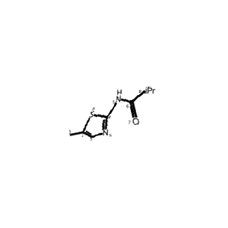 Cc1cnc(NC(=O)C(C)C)s1